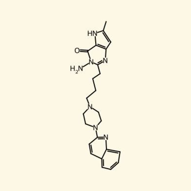 Cc1cc2nc(CCCCN3CCN(c4ccc5ccccc5n4)CC3)n(N)c(=O)c2[nH]1